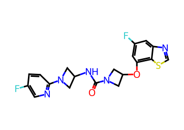 O=C(NC1CN(c2ccc(F)cn2)C1)N1CC(Oc2cc(F)cc3ncsc23)C1